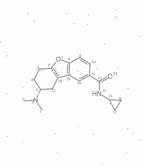 CN(C)C1CCc2oc3ccc(C(=O)NC4CC4)cc3c2C1